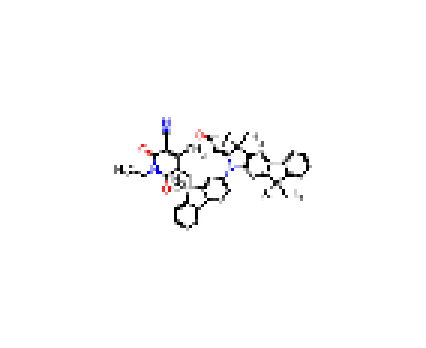 CCN1C(=O)C(C#N)=C(C)C(CC2(C)c3ccccc3-c3ccc(N4/C(=C/C=O)C(C)(C)c5cc6c(cc54)C(C)(C)c4ccccc4-6)cc32)C1=O